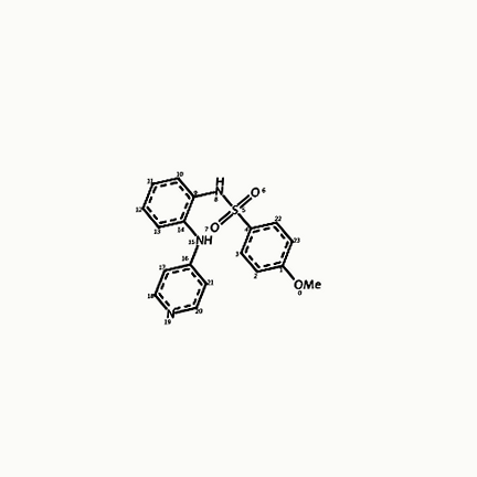 COc1ccc(S(=O)(=O)Nc2ccccc2Nc2ccncc2)cc1